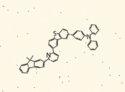 CC1(C)c2ccccc2-c2ccc(-c3cccc(-c4ccc5sc6ccc(-c7ccc(N(c8ccccc8)c8ccccc8)cc7)cc6c5c4)n3)cc21